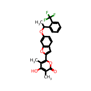 Cc1c(-c2cc3ccc(OC(C)c4ccccc4C(F)(F)F)cc3o2)oc(=O)c(C)c1O